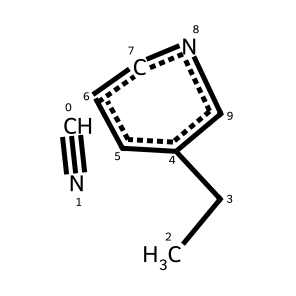 C#N.CCc1cccnc1